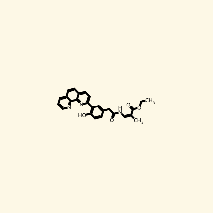 CCOC(=O)C(C)=CNC(=O)Cc1ccc(O)c(-c2ccc3ccc4cccnc4c3n2)c1